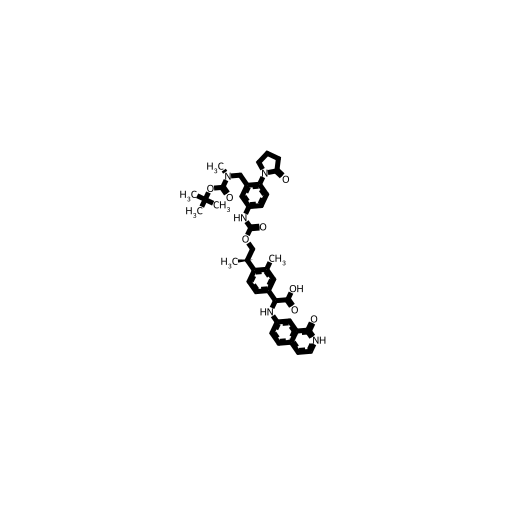 Cc1cc(C(Nc2ccc3cc[nH]c(=O)c3c2)C(=O)O)ccc1[C@@H](C)COC(=O)Nc1ccc(N2CCCC2=O)c(CN(C)C(=O)OC(C)(C)C)c1